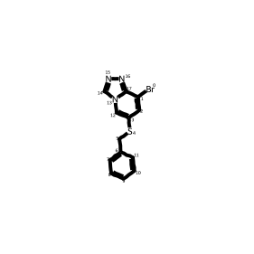 Brc1cc(SCc2ccccc2)cn2cnnc12